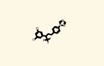 FC(F)(F)C(CCc1ccc(-n2cncn2)cc1)c1cc(Cl)cc(Cl)c1